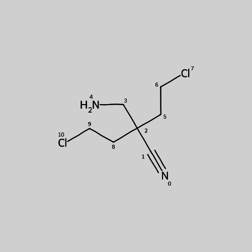 N#CC(CN)(CCCl)CCCl